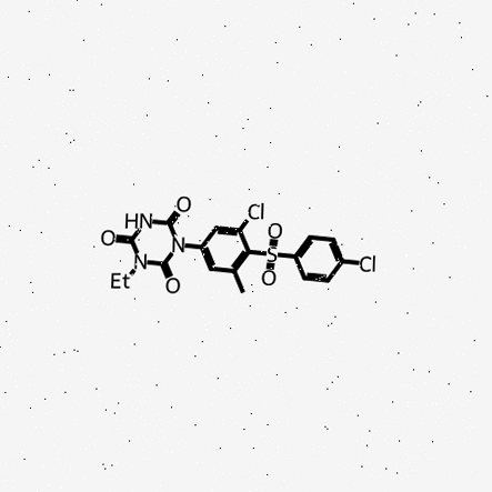 CCn1c(=O)[nH]c(=O)n(-c2cc(C)c(S(=O)(=O)c3ccc(Cl)cc3)c(Cl)c2)c1=O